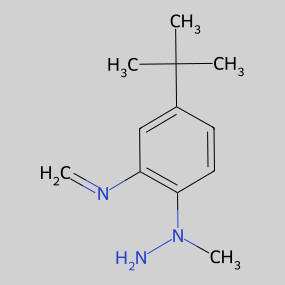 C=Nc1cc(C(C)(C)C)ccc1N(C)N